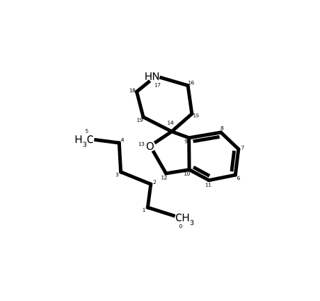 CCCCCC.c1ccc2c(c1)COC21CCNCC1